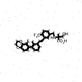 Cc1c(C=Cc2cc(CNC(C)(CO)C(=O)O)ccc2C(F)(F)F)cccc1-c1ccc2c(c1F)OCCO2